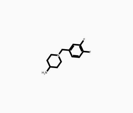 NC1CCN(Cc2ccc(F)c(F)c2)CC1